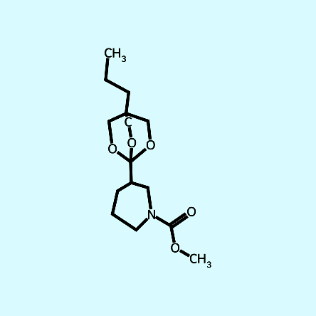 CCCC12COC(C3CCCN(C(=O)OC)C3)(OC1)OC2